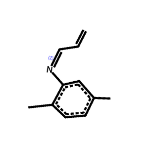 C=C/C=N\c1cc(C)ccc1C